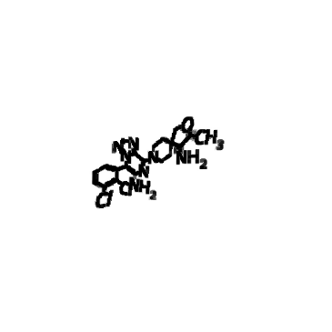 C[C@@H]1OCC2(CCN(c3nc(N)c(-c4cccc(Cl)c4Cl)n4ncnc34)CC2)[C@@H]1N